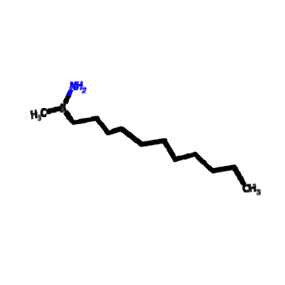 CCCCCCCCCCCB(C)N